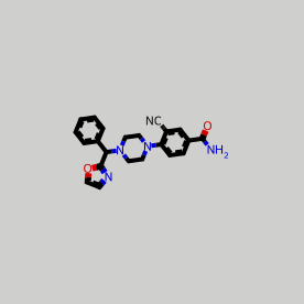 N#Cc1cc(C(N)=O)ccc1N1CCN(C(c2ccccc2)c2ncco2)CC1